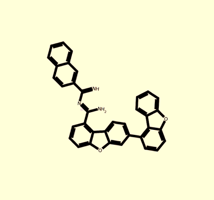 N=C(/N=C(\N)c1cccc2oc3cc(-c4cccc5oc6ccccc6c45)ccc3c12)c1ccc2ccccc2c1